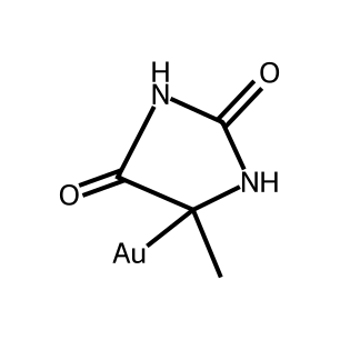 C[C]1([Au])NC(=O)NC1=O